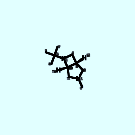 CN1C[C@H]2CN(C(C)(C)C)[C@H]2C1